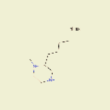 CCCCCCCCCCC1CNCCN1C